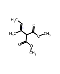 C/C=C(\C)C(C(=O)OC)C(=O)OC